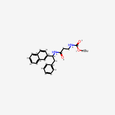 CC(C)(C)OC(=O)NCCC(=O)NC(Cc1ccccc1)c1ccc2ccccc2c1